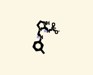 Cc1cccc(/N=C/N2CCN/C2=N\[N+](=O)[O-])c1